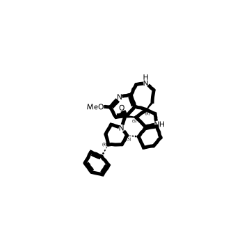 COc1ccc2c(n1)CNCC[C@]21CNC[C@H]1C(=O)N1CC[C@@H](c2ccccc2)C[C@H]1C1CCCCC1